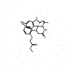 C=C(C)[C@H]1NC(=O)C[C@@H](c2cc(Cl)ccc2OCC(=O)OC)[C@]12C(=O)Nc1cc(Cl)ccc12